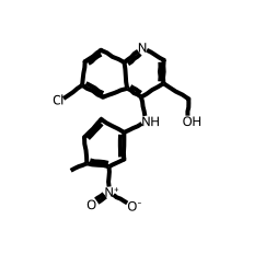 Cc1ccc(Nc2c(CO)cnc3ccc(Cl)cc23)cc1[N+](=O)[O-]